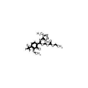 CCOC(=O)OC(C)O/C(=N\c1nnnn1C)c1ccc(C(F)(F)F)c(SC)c1Cl